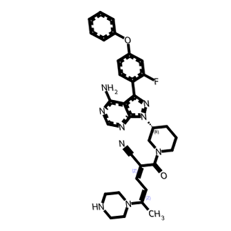 C/C(=C/C=C(/C#N)C(=O)N1CCC[C@@H](n2nc(-c3ccc(Oc4ccccc4)cc3F)c3c(N)ncnc32)C1)N1CCNCC1